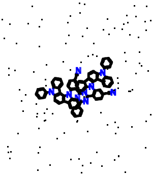 N#Cc1ccc(-n2c3ccccc3c3ccc4c(c5ccccc5n4-c4ccccc4)c32)c(-c2nc(-c3ccccc3)nc(-c3ccc(C#N)cc3-n3c4ccccc4c4ccc5c(c6ccccc6n5-c5ccccc5)c43)n2)c1